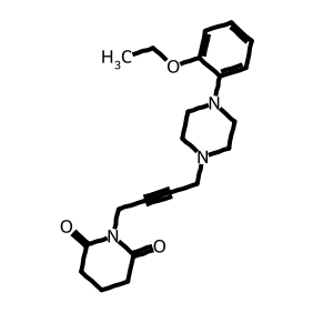 CCOc1ccccc1N1CCN(CC#CCN2C(=O)CCCC2=O)CC1